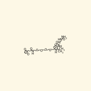 CC(C)[C@H](NC(=O)CCOCCOCCOCCOCCNC(=O)CCN1C(=O)C=CC1=O)C(=O)N[C@@H](CCCNC(N)=O)C(=O)O